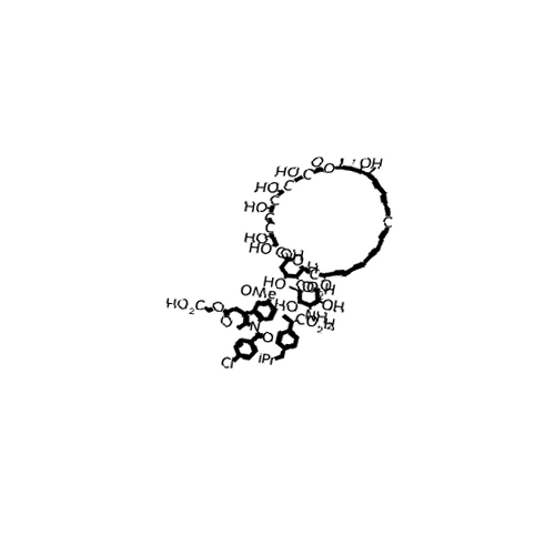 CC(C)Cc1ccc([C@H](C)C(=O)O)cc1.COc1ccc2c(c1)c(CC(=O)OCC(=O)O)c(C)n2C(=O)c1ccc(Cl)cc1.C[C@@H]1[C@H](O)[C@@H](C)/C=C/C=C/CC/C=C/C=C/C=C/C=C/[C@H](O[C@@H]2O[C@H](C)[C@@H](O)[C@H](N)[C@@H]2O)C[C@@H]2O[C@](O)(C[C@@H](O)[C@H](O)CC[C@@H](O)C[C@@H](O)C[C@@H](O)CC(=O)O[C@H]1C)C[C@H](O)[C@H]2C(=O)O